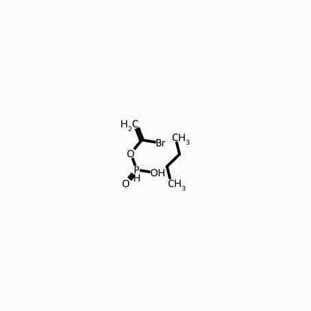 C=C(Br)O[PH](=O)O.CCCC